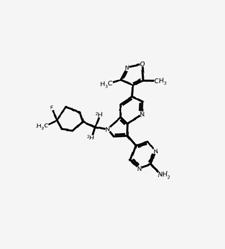 [2H]C([2H])(C1CCC(C)(F)CC1)n1cc(-c2cnc(N)nc2)c2ncc(-c3c(C)noc3C)cc21